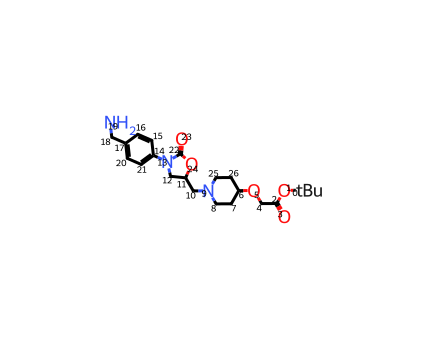 CC(C)(C)OC(=O)COC1CCN(CC2CN(c3ccc(CN)cc3)C(=O)O2)CC1